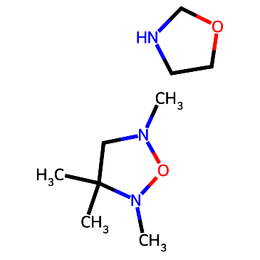 C1COCN1.CN1CC(C)(C)N(C)O1